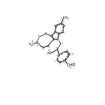 Cc1ccc2c(c1)c1c(n2CC(O)c2ccc(C=O)cc2)CCN(C)CC1